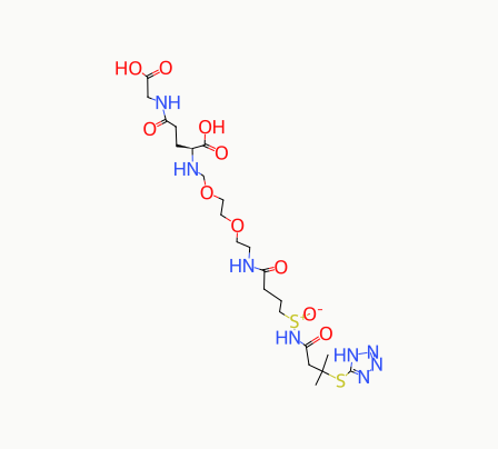 CC(C)(CC(=O)N[S+]([O-])CCCC(=O)NCCOCCOCN[C@@H](CCC(=O)NCC(=O)O)C(=O)O)Sc1nnn[nH]1